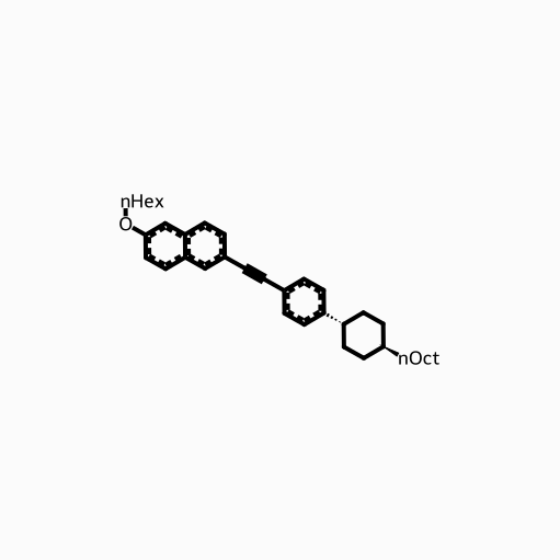 CCCCCCCC[C@H]1CC[C@H](c2ccc(C#Cc3ccc4cc(OCCCCCC)ccc4c3)cc2)CC1